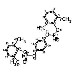 Cc1cccc(C)c1O[PH](=O)Oc1ccc(O[PH](=O)Oc2c(C)cccc2C)cc1